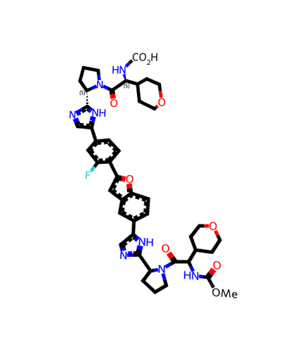 COC(=O)NC(C(=O)N1CCCC1c1ncc(-c2ccc3oc(-c4ccc(-c5cnc([C@@H]6CCCN6C(=O)[C@@H](NC(=O)O)C6CCOCC6)[nH]5)cc4F)cc3c2)[nH]1)C1CCOCC1